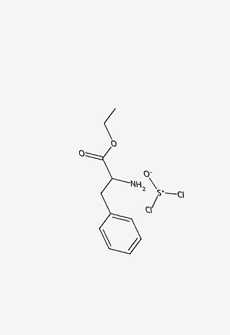 CCOC(=O)C(N)Cc1ccccc1.[O-][S+](Cl)Cl